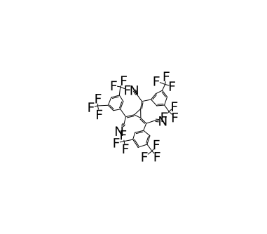 N#CC(=C1C(=C(C#N)c2cc(C(F)(F)F)cc(C(F)(F)F)c2)C1=C(C#N)c1cc(C(F)(F)F)cc(C(F)(F)F)c1)c1cc(C(F)(F)F)cc(C(F)(F)F)c1